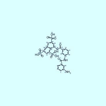 Nc1cccc(C(=O)Nc2cccc(C(=O)Nc3cc(S(=O)(=O)O)cc4cc(S(=O)(=O)O)cc(S(=O)(=O)O)c34)c2)c1